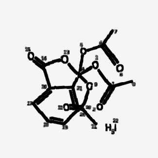 CC(=O)OI1(OC(C)=O)(OC(C)=O)OC(=O)c2ccccc21.[IH5]